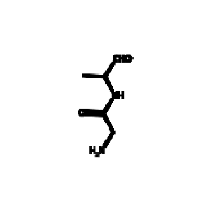 CC([C]=O)NC(=O)CN